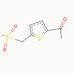 CC(=O)c1ccc(CS(C)(=O)=O)s1